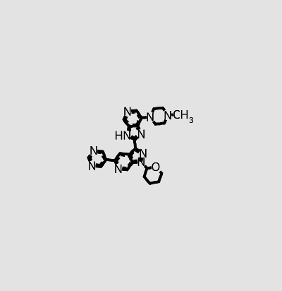 CN1CCN(c2cncc3[nH]c(-c4nn(C5CCCCO5)c5cnc(-c6cncnc6)cc45)nc23)CC1